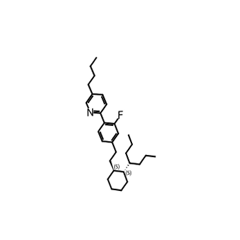 CCCCc1ccc(-c2ccc(CC[C@@H]3CCCC[C@H]3C(CCC)CCC)cc2F)nc1